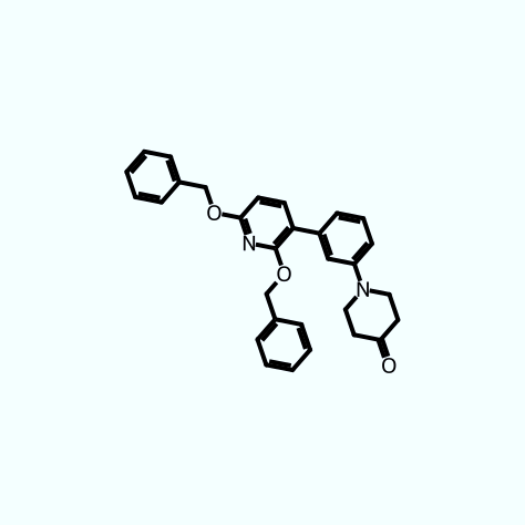 O=C1CCN(c2cccc(-c3ccc(OCc4ccccc4)nc3OCc3ccccc3)c2)CC1